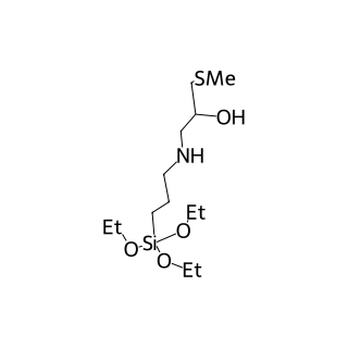 CCO[Si](CCCNCC(O)CSC)(OCC)OCC